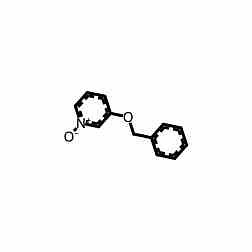 [O-][n+]1cccc(OCc2ccccc2)c1